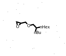 CCCCCCC(CCCC)COCC1CO1